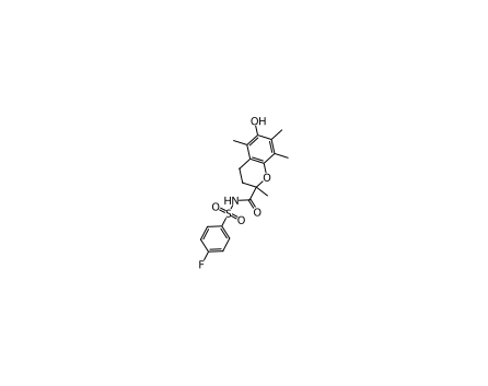 Cc1c(C)c2c(c(C)c1O)CCC(C)(C(=O)NS(=O)(=O)c1ccc(F)cc1)O2